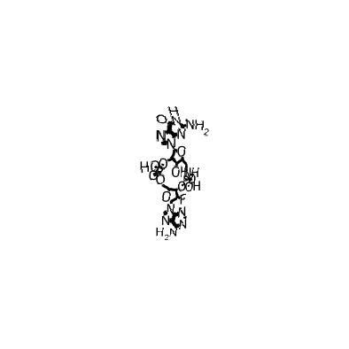 Nc1nc2c(ncn2C2OC3CNP(=O)(O)OC4C(COP(=O)(O)OC2C3O)OC(n2cnc3c(N)ncnc32)C4F)c(=O)[nH]1